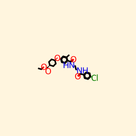 CCOC(=O)[C@H]1CC[C@@H](Oc2ccc(C(=O)NCCNC(=O)c3ccc(Cl)cc3)c(C)c2)CC1